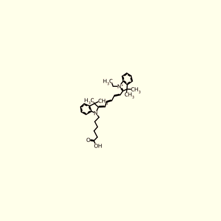 CC[N+]1=C(/C=C/C=C/C=C2/N(CCCCCC(=O)O)c3ccccc3C2(C)C)C(C)(C)c2ccccc21